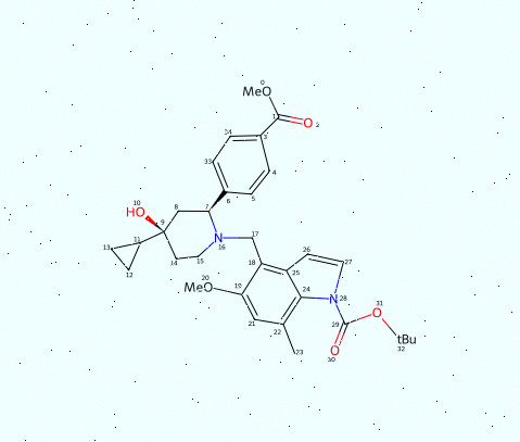 COC(=O)c1ccc([C@@H]2C[C@@](O)(C3CC3)CCN2Cc2c(OC)cc(C)c3c2ccn3C(=O)OC(C)(C)C)cc1